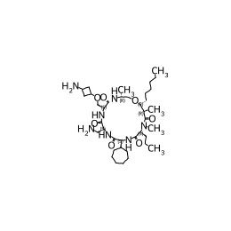 CCCCCC[C@H]1OC[C@@H](C)NC(=O)[C@H](COC2CC(N)C2)NC(=O)[C@H](CN)NC(=O)[C@H](C2CCCCCC2)NC(=O)[C@H](CCC)N(C)C(=O)[C@@H]1C